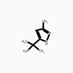 Cc1cc(C(C)(C)N)[nH]n1